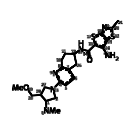 CNC1CN(c2ccc3c(n2)CCC(NC(=O)c2sc4nc(C)sc4c2N)C3)CC1COC